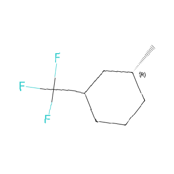 C[C@@H]1CCCC(C(F)(F)F)C1